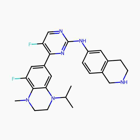 CC(C)N1CCN(C)c2c(F)cc(-c3nc(Nc4ccc5c(c4)CCNC5)ncc3F)cc21